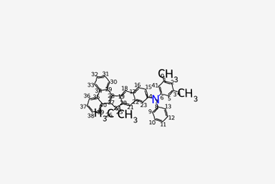 Cc1cc(C)cc(N(c2ccccc2)c2ccc3cc4c(cc3c2)C(C)(C)c2c-4c3ccccc3c3ccccc23)c1